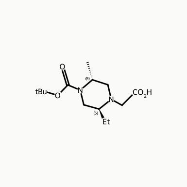 CC[C@H]1CN(C(=O)OC(C)(C)C)[C@H](C)CN1CC(=O)O